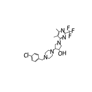 Cc1nc(C(F)(F)F)nc(N2CC(O)C(N3CCN(Cc4ccc(Cl)cc4)CC3)C2)c1C